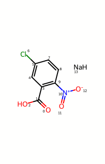 O=C(O)c1cc(Cl)ccc1[N+](=O)[O-].[NaH]